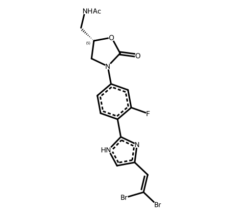 CC(=O)NC[C@H]1CN(c2ccc(-c3nc(C=C(Br)Br)c[nH]3)c(F)c2)C(=O)O1